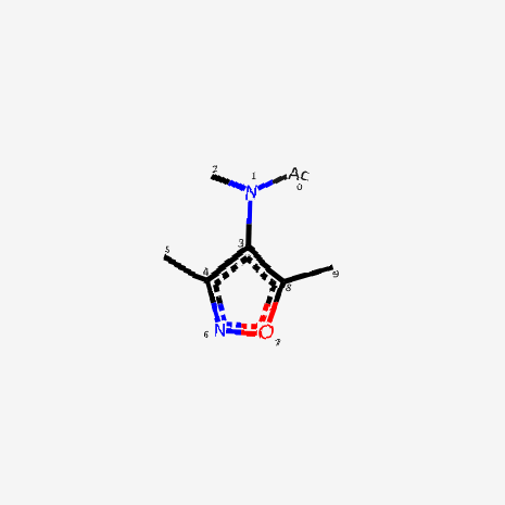 CC(=O)N(C)c1c(C)noc1C